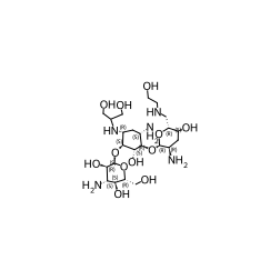 N[C@@H]1[C@@H](O)[C@@H](O[C@@H]2[C@@H](O)[C@H](O[C@H]3O[C@H](CNCCO)[C@@H](O)C[C@H]3N)[C@@H](N)C[C@H]2NC(CO)CO)O[C@H](CO)[C@H]1O